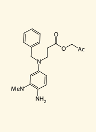 CNc1cc(N(CCC(=O)OCC(C)=O)Cc2ccccc2)ccc1N